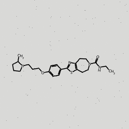 CCNC(=O)N1CCc2nc(-c3ccc(OCCCN4CCCC4C)cc3)sc2CC1